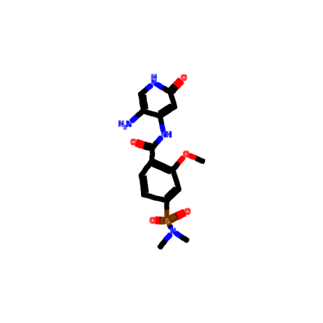 COc1cc(S(=O)(=O)N(C)C)ccc1C(=O)Nc1cc(=O)[nH]cc1N